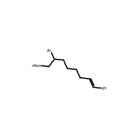 [CH2]CC/C=C/CCCCC(CCCCCCCCC[CH2])C(C)C